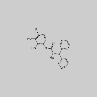 O=C(Oc1ccc(F)c(O)c1O)C(O)C(c1ccccc1)c1ccccc1